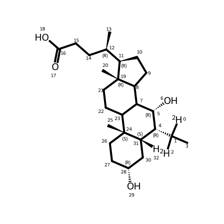 [2H]C([2H])(C)[C@H]1[C@@H](O)C2C3CC[C@H]([C@H](C)CCC(=O)O)[C@@]3(C)CCC2[C@@]2(C)CC[C@@H](O)C[C@@H]12